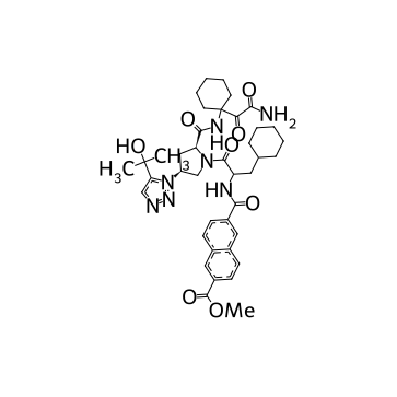 COC(=O)c1ccc2cc(C(=O)NC(CC3CCCCC3)C(=O)N3C[C@@H](n4nncc4C(C)(C)O)C[C@H]3C(=O)NC3(C(=O)C(N)=O)CCCCC3)ccc2c1